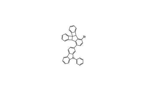 Brc1ccc(-c2ccc3c4ccccc4n(-c4ccccc4)c3c2)c2c1C1c3ccccc3C13c1ccccc1C23